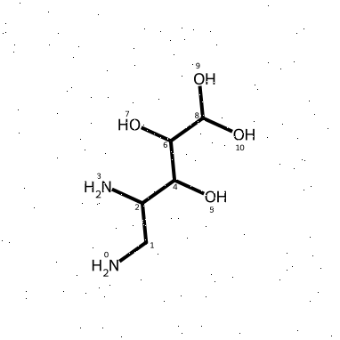 NCC(N)C(O)C(O)C(O)O